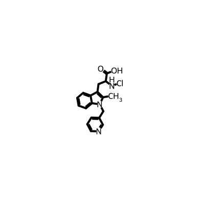 Cc1c(CC(NCl)C(=O)O)c2ccccc2n1Cc1cccnc1